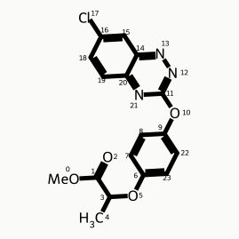 COC(=O)C(C)Oc1ccc(Oc2nnc3cc(Cl)ccc3n2)cc1